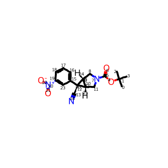 CC(C)(C)OC(=O)N1C[C@@H]2[C@H](C1)[C@]2(C#N)c1cccc([N+](=O)[O-])c1